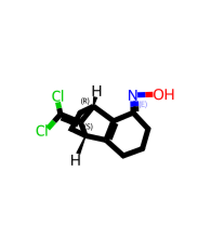 O/N=C1\CCCC2=C1[C@H]1CC[C@@H]2C1=C(Cl)Cl